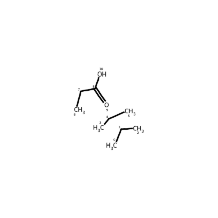 CCC.CCC.CCC(=O)O